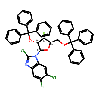 F[C@@H]1[C@@H](OC(c2ccccc2)(c2ccccc2)c2ccccc2)[C@H](n2c(Cl)nc3cc(Cl)c(Cl)cc32)O[C@@H]1COC(c1ccccc1)(c1ccccc1)c1ccccc1